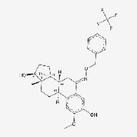 COc1cc2c(cc1O)C(=NOCc1ccc(SC(F)(F)F)cc1)C[C@@H]1[C@@H]2CC[C@]2(C)[C@@H](O)CC[C@@H]12